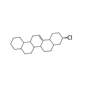 Cl[C@@H]1CCC2C3=CCC4C5CCCCC5CCC4C3CCC2C1